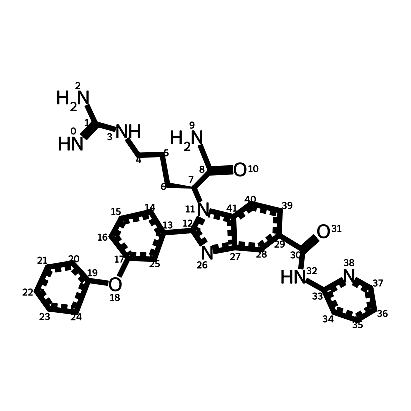 N=C(N)NCCC[C@@H](C(N)=O)n1c(-c2cccc(Oc3ccccc3)c2)nc2cc(C(=O)Nc3ccccn3)ccc21